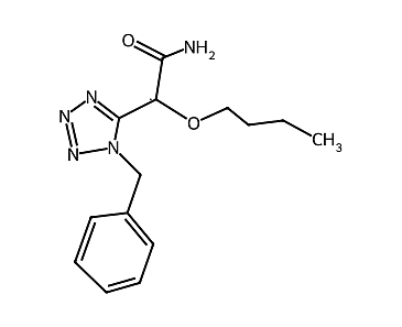 CCCCO[C](C(N)=O)c1nnnn1Cc1ccccc1